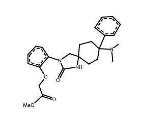 COC(=O)COc1ccccc1N1CC2(CCC(c3ccccc3)(N(C)C)CC2)NC1=O